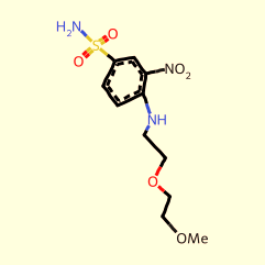 COCCOCCNc1ccc(S(N)(=O)=O)cc1[N+](=O)[O-]